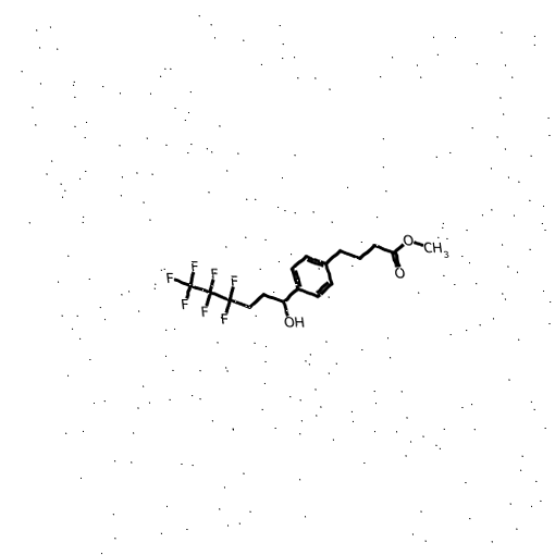 COC(=O)CCCc1ccc(C(O)CCC(F)(F)C(F)(F)C(F)(F)F)cc1